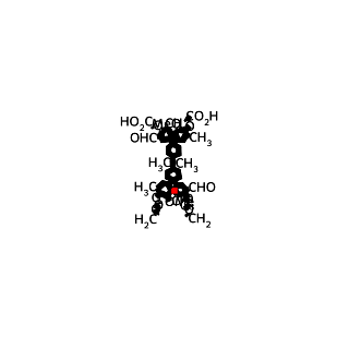 C=COOOc1c(C)cc(C2(c3cc(C)c(OOOC=C)c(OC)c3)CCC(C(C)(C)C3CCC(c4cc(C)c(OCC(=O)O)c(C=O)c4)(c4cc(C)c(OCC(=O)O)c(OC)c4)CC3)CC2)cc1C=O